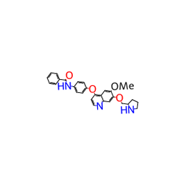 COc1cc2c(Oc3ccc(NC(=O)c4ccccc4)cc3)ccnc2cc1OCC1CCCN1